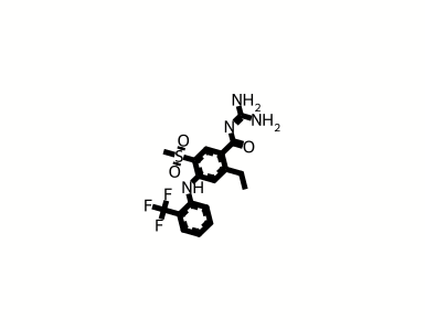 CCc1cc(Nc2ccccc2C(F)(F)F)c(S(C)(=O)=O)cc1C(=O)N=C(N)N